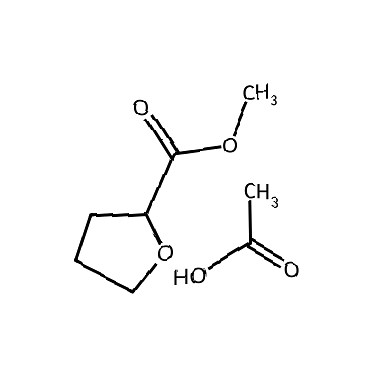 CC(=O)O.COC(=O)C1CCCO1